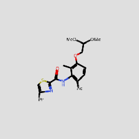 COC(COc1ccc(C(C)=O)c(NC(=O)c2nc(C(C)C)cs2)c1C)OC